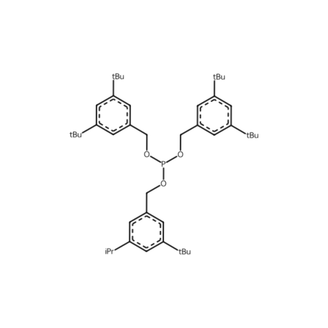 CC(C)c1cc(COP(OCc2cc(C(C)(C)C)cc(C(C)(C)C)c2)OCc2cc(C(C)(C)C)cc(C(C)(C)C)c2)cc(C(C)(C)C)c1